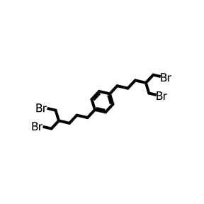 BrCC(CBr)CCCc1ccc(CCCC(CBr)CBr)cc1